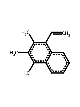 C=Cc1c(C)c(C)c(C)c2ccccc12